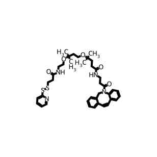 CC(C)(CCOC(C)(C)CCC(=O)NCCC(=O)N1Cc2ccccc2C#Cc2ccccc21)OCCNC(=O)CCSSc1ccccn1